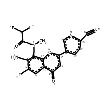 CN(C(=O)C(F)F)c1c(N)c(F)cc2c(=O)cc(-c3ccc(C#N)nc3)oc12